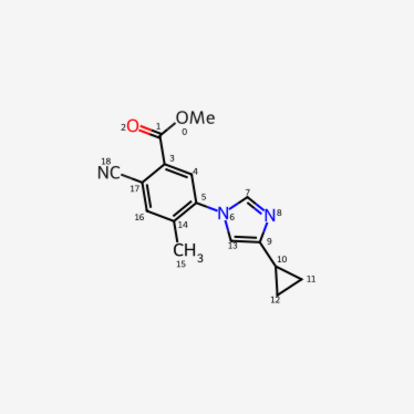 COC(=O)c1cc(-n2cnc(C3CC3)c2)c(C)cc1C#N